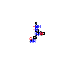 CCCCNC(=O)N1CCc2c(nc(-c3ccc(NC(=O)NC)cc3)nc2N2CC3CCC(C2)O3)C1